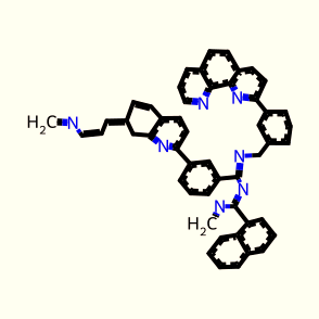 C=N/C=C\C=C1\C=Cc2ccc(-c3cccc(C(=N/Cc4cccc(-c5ccc6ccc7cccnc7c6n5)c4)/N=C(\N=C)c4cccc5ccccc45)c3)nc2C1